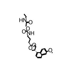 CCNC(=O)COC(=O)NCCC[C@H]1OC[C@H](c2cccc3cc(OC)ccc32)CO1